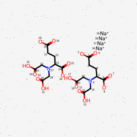 O=C([O-])CCC(C(=O)[O-])N(CC(=O)O)CC(=O)O.O=C([O-])CCC(C(=O)[O-])N(CC(=O)O)CC(=O)O.[Na+].[Na+].[Na+].[Na+]